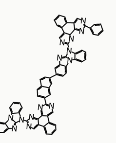 c1ccc(-c2ncc3c4ccccc4c4cnc(-n5c6ccccc6n6c7ccc(-c8ccc9ccc(-c%10ncc%11c%12ccccc%12c%12cnc(-n%13c%14ccccc%14n%14c%15ccccc%15nc%13%14)nc%12c%11n%10)cc9c8)cc7nc56)nc4c3n2)cc1